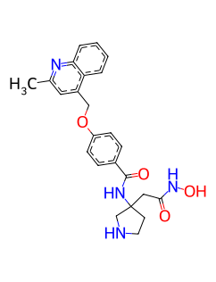 Cc1cc(COc2ccc(C(=O)NC3(CC(=O)NO)CCNC3)cc2)c2ccccc2n1